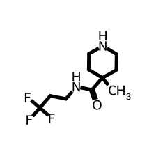 CC1(C(=O)NCCC(F)(F)F)CCNCC1